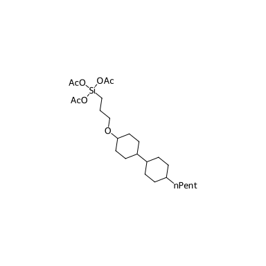 CCCCCC1CCC(C2CCC(OCCC[Si](OC(C)=O)(OC(C)=O)OC(C)=O)CC2)CC1